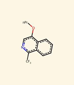 CCCOc1cnc(C(F)(F)F)c2ccccc12